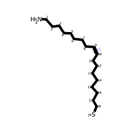 NCCCCCCCC/C=C\CCCCCCCC[S]